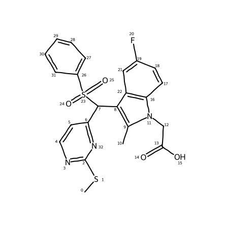 CSc1nccc(C(c2c(C)n(CC(=O)O)c3ccc(F)cc23)S(=O)(=O)c2ccccc2)n1